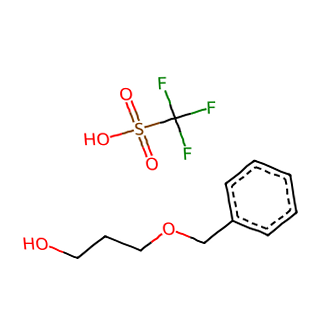 O=S(=O)(O)C(F)(F)F.OCCCOCc1ccccc1